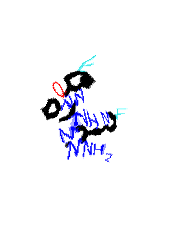 CC(Nc1ncnc(N)c1C#Cc1ccc(F)cn1)c1nc2ccc(F)cc2c(=O)n1-c1ccccc1